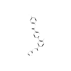 COc1ccc(NC(=O)c2ccc(-c3cc(C(=O)Nc4nncs4)ccc3C)nc2)cc1